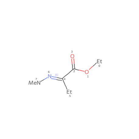 CCOC(=O)/C(CC)=N/NC